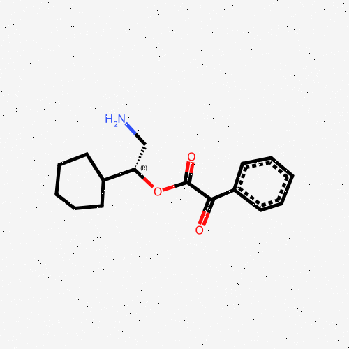 NC[C@H](OC(=O)C(=O)c1ccccc1)C1CCCCC1